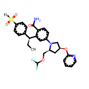 CCS(=O)(=O)c1ccc([C@H](CC#N)c2cc(N3C[C@@H](Oc4ccccn4)C[C@H]3COC(F)F)ccc2C(N)=O)cc1